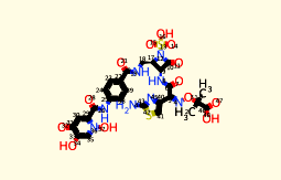 CC(C)(O/N=C(\C(=O)N[C@@H]1C(=O)N(S(=O)(=O)O)[C@@H]1CNC(=O)c1ccc(NC(=O)c2cc(=O)c(O)cn2O)cc1)c1csc(N)n1)C(=O)O